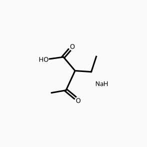 CCC(C(C)=O)C(=O)O.[NaH]